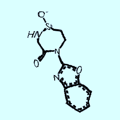 O=C1N[S+]([O-])CCN1c1nc2ccccc2o1